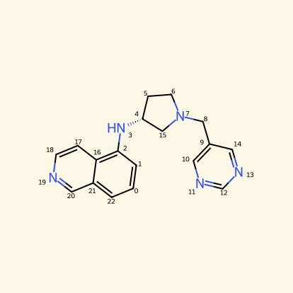 c1cc(N[C@@H]2CCN(Cc3cncnc3)C2)c2ccncc2c1